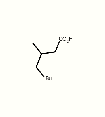 CCC(C)[CH]C(C)CC(=O)O